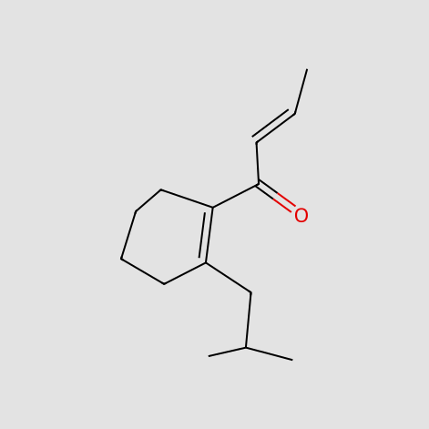 CC=CC(=O)C1=C(CC(C)C)CCCC1